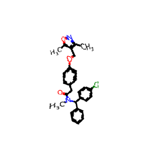 Cc1noc(C)c1COc1ccc(CC(=O)N(C)C(c2ccccc2)c2ccc(Cl)cc2)cc1